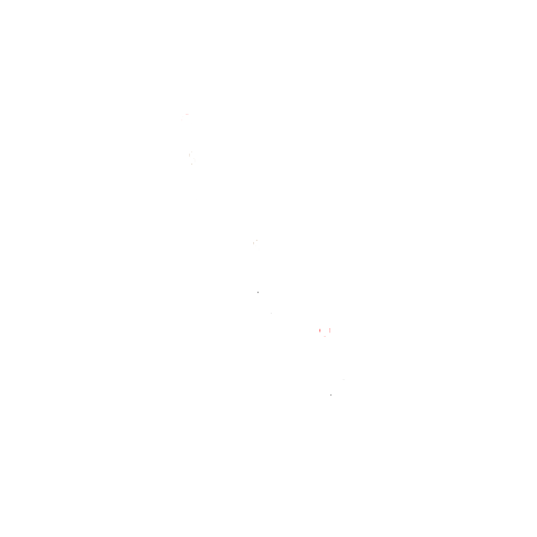 CC1C(C)(CC2CC(C)(C(C)(C)C)CCO2)C12CCSC(CC(C)(C)C1CC[S+]([O-])CC1)C2